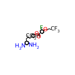 Nc1cc(N)cc(CC(=Cc2ccc(OC(=O)c3ccc(OCCCC(F)(F)F)c(F)c3)cc2)C(=O)O)c1